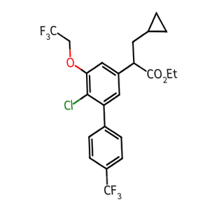 CCOC(=O)C(CC1CC1)c1cc(OCC(F)(F)F)c(Cl)c(-c2ccc(C(F)(F)F)cc2)c1